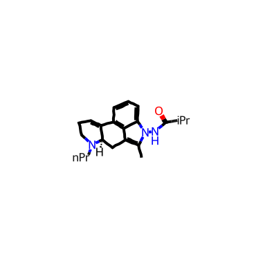 CCCN1CCC=C2c3cccc4c3c(c(C)n4NC(=O)C(C)C)C[C@H]21